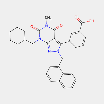 Cn1c(=O)c2c(-c3cccc(C(=O)O)c3)n(Cc3cccc4ccccc34)nc2n(CC2CCCCC2)c1=O